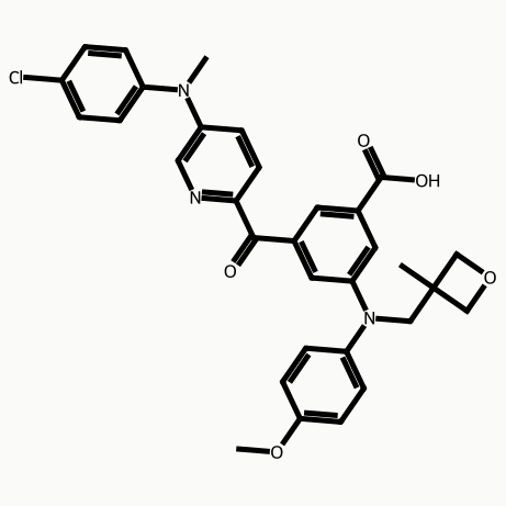 COc1ccc(N(CC2(C)COC2)c2cc(C(=O)O)cc(C(=O)c3ccc(N(C)c4ccc(Cl)cc4)cn3)c2)cc1